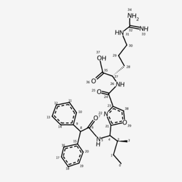 CC[C@H](C)C(NC(=O)C(c1ccccc1)c1ccccc1)c1nc(C(=O)N[C@@H](CCCNC(=N)N)C(=O)O)co1